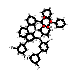 Fc1cc(F)cc(-c2ccc3c(c2)B2c4cc(-c5cc(F)cc(F)c5)ccc4N(c4c(-c5ccccc5)cccc4-c4ccccc4)c4cc(N(c5ccccc5)c5ccccc5)cc(c42)S3)c1